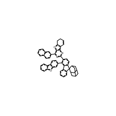 C1=Cc2c(oc3c(-c4ccc5ccccc5c4)nc(-c4ccc5c(c4-c4ccc6c(c4)oc4ccccc46)-c4ccccc4C54C5CC6CC(C5)CC4C6)nc23)CC1